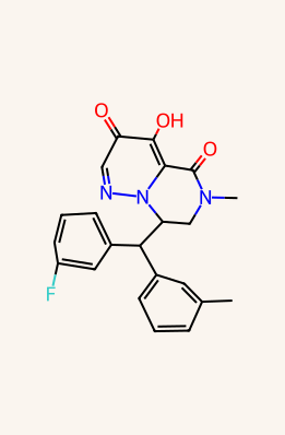 Cc1cccc(C(c2cccc(F)c2)C2CN(C)C(=O)c3c(O)c(=O)cnn32)c1